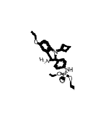 CCOc1ccc2c(c1)C(N)C(c1ccc(NP(=O)(OCC)OCC)cc1)N2C1CCC1